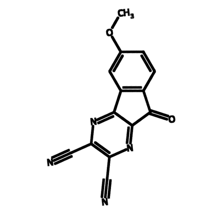 COc1ccc2c(c1)-c1nc(C#N)c(C#N)nc1C2=O